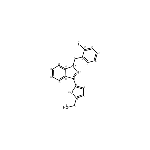 OCc1ccc(-c2nn(Cc3ccccc3F)c3ccccc23)o1